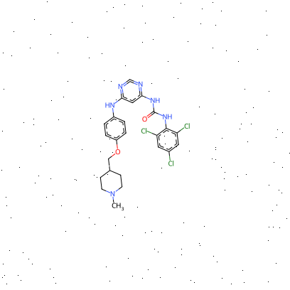 CN1CCC(COc2ccc(Nc3cc(NC(=O)Nc4c(Cl)cc(Cl)cc4Cl)ncn3)cc2)CC1